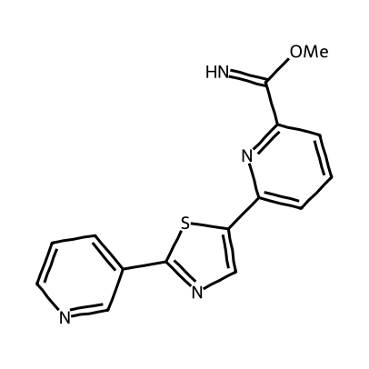 COC(=N)c1cccc(-c2cnc(-c3cccnc3)s2)n1